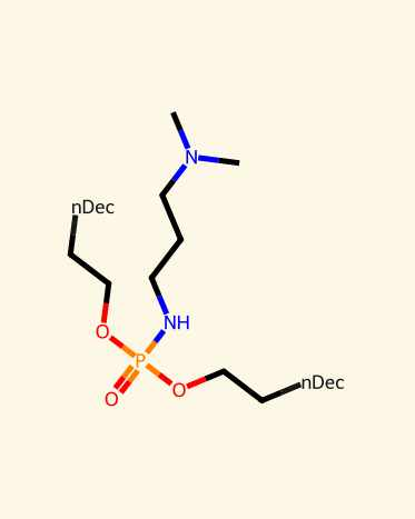 CCCCCCCCCCCCOP(=O)(NCCCN(C)C)OCCCCCCCCCCCC